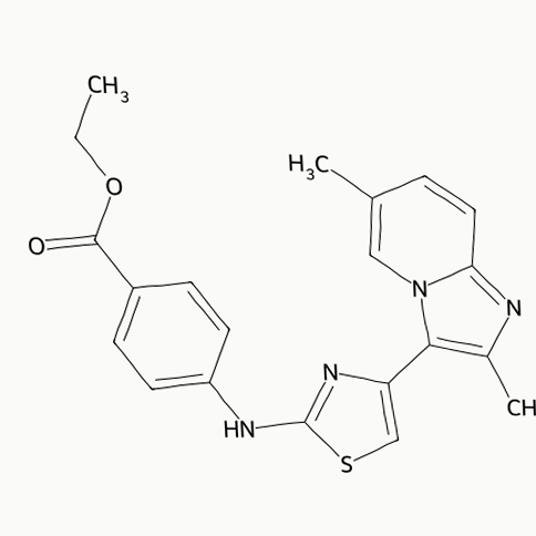 CCOC(=O)c1ccc(Nc2nc(-c3c(C)nc4ccc(C)cn34)cs2)cc1